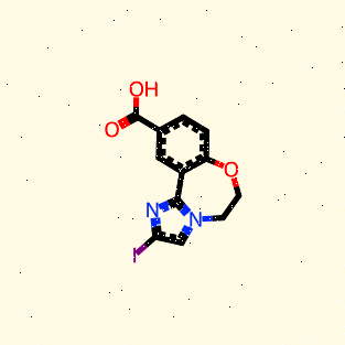 O=C(O)c1ccc2c(c1)-c1nc(I)cn1CCO2